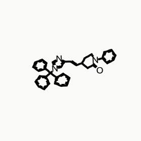 O=C1CC(C=Cc2cn(C(c3ccccc3)(c3ccccc3)c3ccccc3)cn2)CCN1c1ccccc1